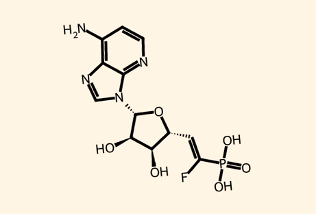 Nc1ccnc2c1ncn2[C@@H]1O[C@H](/C=C(\F)P(=O)(O)O)[C@@H](O)[C@H]1O